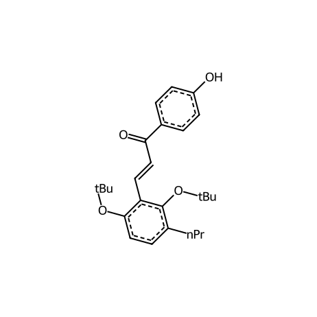 CCCc1ccc(OC(C)(C)C)c(C=CC(=O)c2ccc(O)cc2)c1OC(C)(C)C